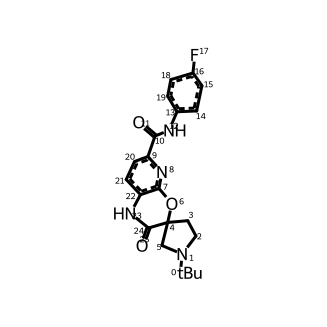 CC(C)(C)N1CCC2(C1)Oc1nc(C(=O)Nc3ccc(F)cc3)ccc1NC2=O